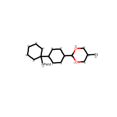 CCCCCC1(C2CCC(C3OCC(CC)CO3)CC2)CCCCC1